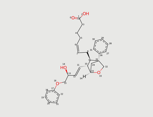 O=C(O)CCC/C=C\C[C@@H]1[C@@H](/C=C/[C@H](O)COc2ccccc2)[C@H]2C[C@]1(c1ccccc1)CO2